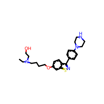 CCN(CCO)CCCCOc1ccc2c(-c3ccc(N4CCNCC4)cc3)nsc2c1